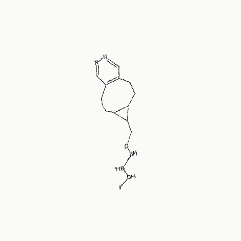 IBBBOCC1C2CCc3cnncc3CCC21